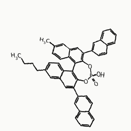 CCCCc1ccc2c3c(c(-c4ccc5ccccc5c4)cc2c1)OP(=O)(O)Oc1c(-c2ccc4ccccc4c2)cc2cc(C)ccc2c1-3